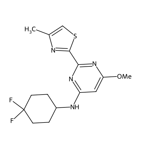 COc1cc(NC2CCC(F)(F)CC2)nc(-c2nc(C)cs2)n1